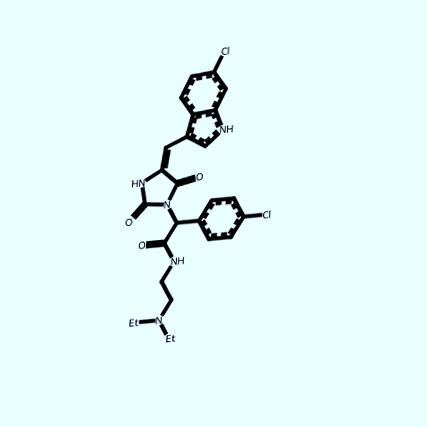 CCN(CC)CCNC(=O)C(c1ccc(Cl)cc1)N1C(=O)NC(=Cc2c[nH]c3cc(Cl)ccc23)C1=O